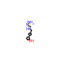 Nc1ncc(CNC2CC2c2ccc(-c3cccc(O)c3)cc2)s1